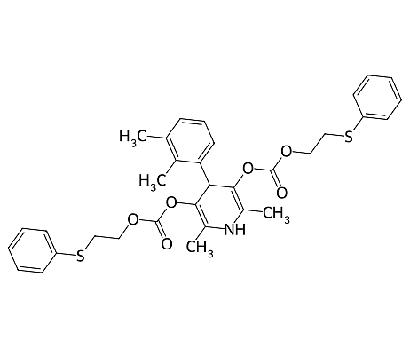 CC1=C(OC(=O)OCCSc2ccccc2)C(c2cccc(C)c2C)C(OC(=O)OCCSc2ccccc2)=C(C)N1